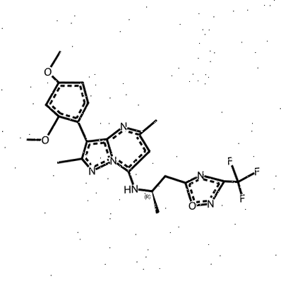 COc1ccc(-c2c(C)nn3c(N[C@H](C)Cc4nc(C(F)(F)F)no4)cc(C)nc23)c(OC)c1